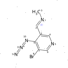 C/N=C/c1cncc(Br)c1N=[N+]=[N-]